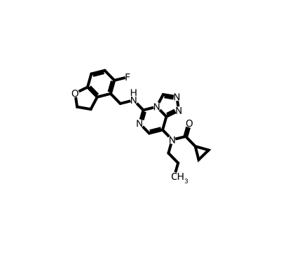 CCCN(C(=O)C1CC1)c1cnc(NCc2c(F)ccc3c2CCO3)n2cnnc12